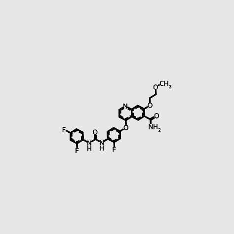 COCCOc1cc2nccc(Oc3ccc(NC(=O)Nc4ccc(F)cc4F)c(F)c3)c2cc1C(N)=O